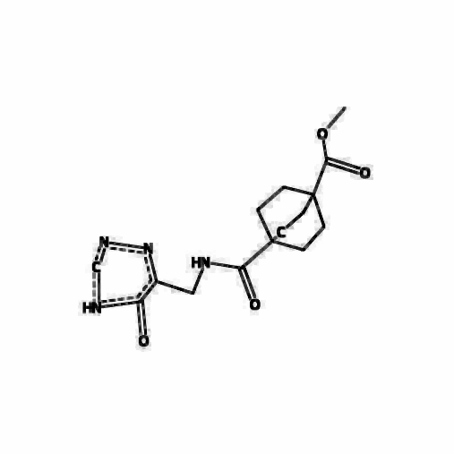 COC(=O)C12CCC(C(=O)NCc3nnc[nH]c3=O)(CC1)CC2